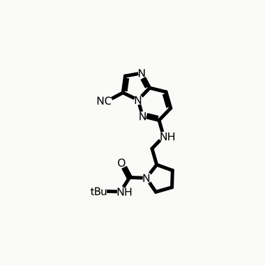 CC(C)(C)NC(=O)N1CCCC1CNc1ccc2ncc(C#N)n2n1